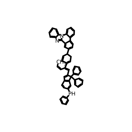 C/C=C\C(=C/C1=Cc2ccc(Pc3ccccc3)cc2C1(c1ccccc1)c1ccccc1)C1=CCC(c2ccc3c4ccccc4n4c5ccccc5nc4c3c2)C=C1